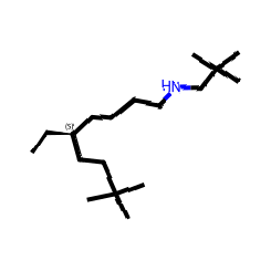 CC[C@@H](CCCCNCC(C)(C)C)CCC(C)(C)C